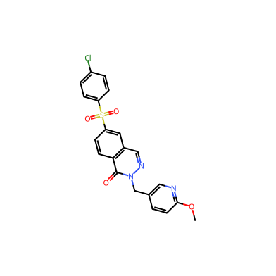 COc1ccc(Cn2ncc3cc(S(=O)(=O)c4ccc(Cl)cc4)ccc3c2=O)cn1